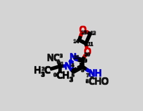 CC(C)(C#N)n1cc(NC=O)c(OC2COC2)n1